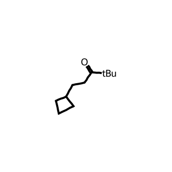 CC(C)(C)C(=O)CCC1CCC1